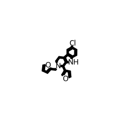 Clc1ccc2[nH]c3c(c2c1)CCN(Cc1ccco1)C3c1ccoc1